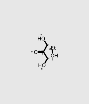 CCO.O=C(CO)CO